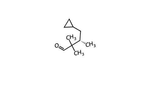 C[C@@H](CC1CC1)C(C)(C)C=O